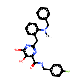 CN(Cc1ccccc1)c1ccccc1Cc1nc(O)c(O)c(C(=O)NCc2ccc(F)cc2)n1